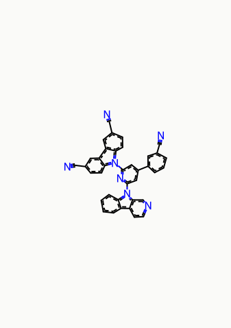 N#Cc1cccc(-c2cc(-n3c4ccc(C#N)cc4c4cc(C#N)ccc43)nc(-n3c4ccccc4c4ccncc43)c2)c1